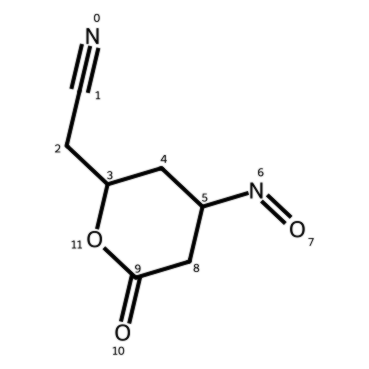 N#CCC1CC(N=O)CC(=O)O1